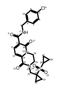 O=C(NCc1ccc(Cl)cc1)c1ccc2n(c1=O)CCN(CC1(S(=O)(=O)C3CC3)CC1)C2=O